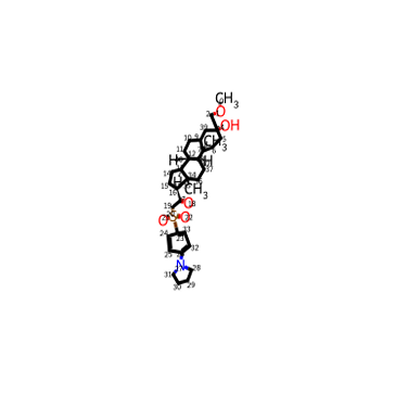 COCC1(O)CC[C@@]2(C)C(CC[C@H]3[C@@H]4CC[C@H](C(=O)CS(=O)(=O)c5ccc(N6CCCC6)cc5)[C@@]4(C)CC[C@@H]32)C1